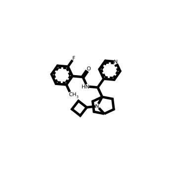 Cc1cccc(F)c1C(=O)NC(c1ccncc1)C12CCC(CC1)N2C1CCC1